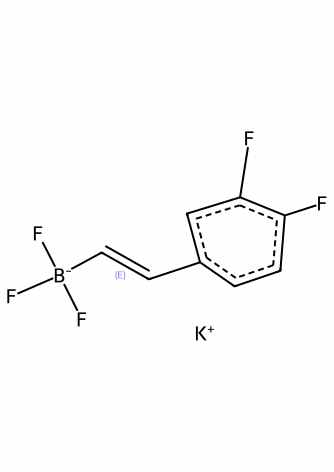 Fc1ccc(/C=C/[B-](F)(F)F)cc1F.[K+]